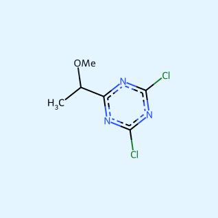 COC(C)c1nc(Cl)nc(Cl)n1